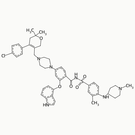 Cc1cc(S(=O)(=O)NC(=O)c2ccc(N3CCN(CC4=C(c5ccc(Cl)cc5)CC(C)(C)OC4)CC3)cc2Oc2cccc3[nH]ccc23)ccc1NC1CCN(C)CC1